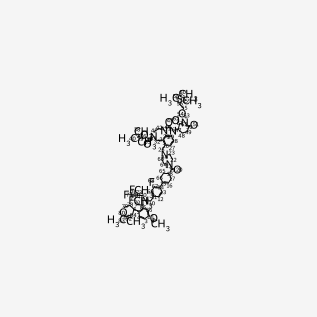 COc1ccc([C@]2(CCN(Cc3ccc(C4=CC[C@H](C(=O)N5CCN(Cc6ccc7c8c6CN(C(=O)OC(C)(C)C)CCn8c(=O)n7C6CCC(=O)N(COCC[Si](C)(C)C)C6=O)CC5)CC4)c(F)c3)CC(C)(C)C(F)(F)F)CCOC(C)(C)C2)cc1